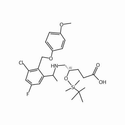 COc1ccc(OCc2c(Cl)cc(F)cc2C(C)NC[C@H](CCC(=O)O)O[Si](C)(C)C(C)(C)C)cc1